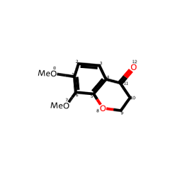 COc1ccc2c(c1OC)OCCC2=O